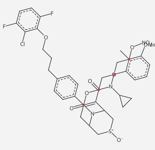 COc1cccc(CN(C(=O)C2=C(c3ccc(CCCOc4c(F)ccc(F)c4Cl)cc3)CC3C[S+]([O-])CC2N3C(=O)OCCOCCO[N+](=O)[O-])C2CC2)c1C